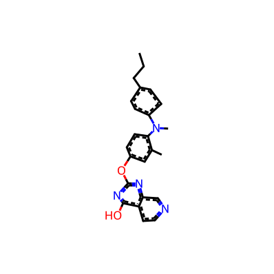 CCCc1ccc(N(C)c2ccc(Oc3nc(O)c4ccncc4n3)cc2C)cc1